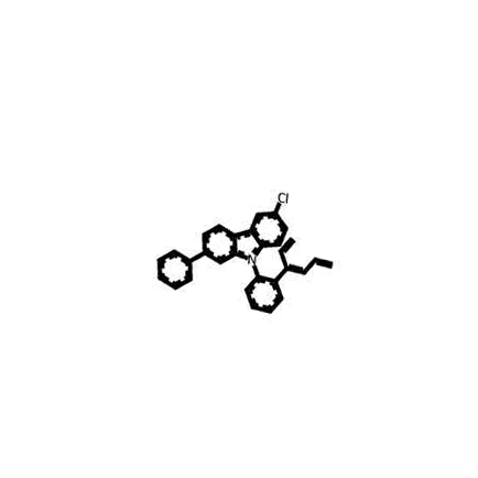 C=C/C=C(\C=C)c1ccccc1-n1c2ccc(Cl)cc2c2ccc(-c3ccccc3)cc21